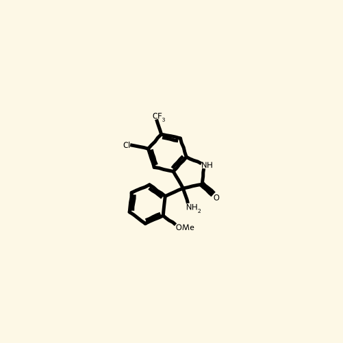 COc1ccccc1C1(N)C(=O)Nc2cc(C(F)(F)F)c(Cl)cc21